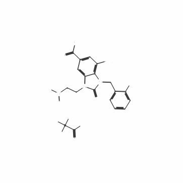 CCN(CC)CCn1c(=O)n(Cc2ccccc2C(F)(F)F)c2c(C(F)(F)F)cc(C(N)=O)cc21.O=C(O)C(F)(F)F